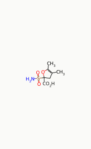 CC1=C(C)OC(C(=O)O)(S(N)(=O)=O)C1